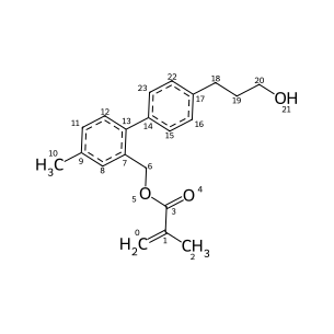 C=C(C)C(=O)OCc1cc(C)ccc1-c1ccc(CCCO)cc1